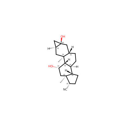 C[C@]12C[C@H]3C[C@]3(O)C[C@@H]1CC[C@@H]1[C@@H]2[C@@H](O)C[C@]2(C)[C@@H](C#N)CC[C@@H]12